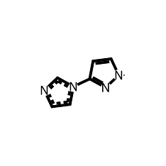 C1=CC(n2ccnc2)=N[N]1